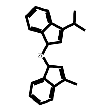 CC1=C[CH]([Zr][CH]2C=C(C(C)C)c3ccccc32)c2ccccc21